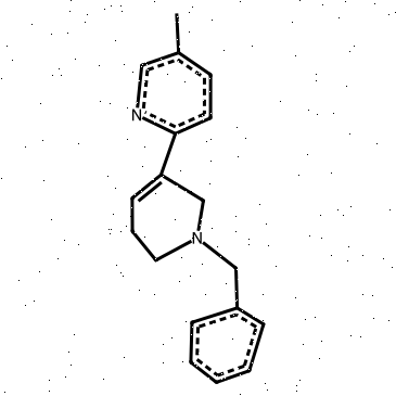 Cc1ccc(C2=CCCN(Cc3ccccc3)C2)nc1